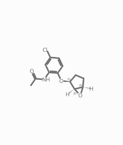 CC(=O)Nc1cc(Cl)ccc1O[C@H]1CC[C@H]2O[C@@H]12